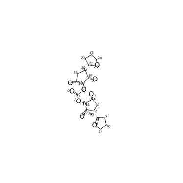 O=C(ON1C(=O)C[C@H](C2CCCO2)C1=O)ON1C(=O)C[C@H](C2CCCO2)C1=O